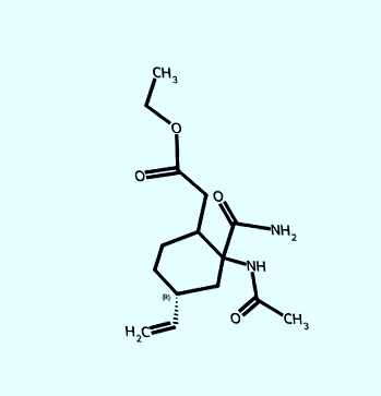 C=C[C@@H]1CCC(CC(=O)OCC)C(NC(C)=O)(C(N)=O)C1